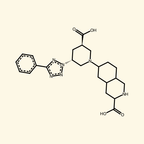 O=C(O)C1CC2CC(N3C[C@H](C(=O)O)C[C@@H](n4nnc(-c5ccccc5)n4)C3)CCC2CN1